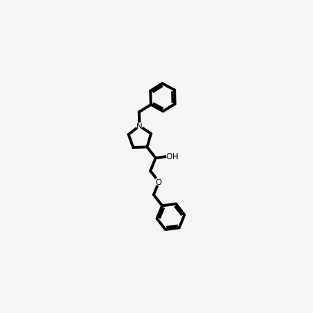 OC(COCc1ccccc1)C1CCN(Cc2ccccc2)C1